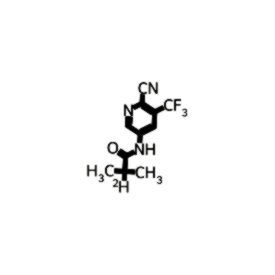 [2H]C(C)(C)C(=O)Nc1cnc(C#N)c(C(F)(F)F)c1